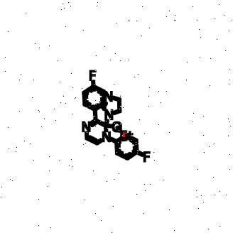 CCOC1(N2C=NCC2)C(c2ccc(F)cc2)=NC=CN1c1ccc(F)cc1